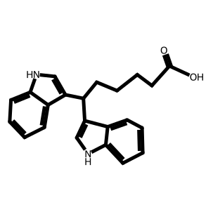 O=C(O)CCCCC(c1c[nH]c2ccccc12)c1c[nH]c2ccccc12